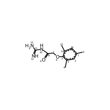 Cc1cc(C)c(OCC(=O)NC(=N)N)c(C)c1